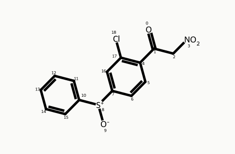 O=C(C[N+](=O)[O-])c1ccc([S+]([O-])c2ccccc2)cc1Cl